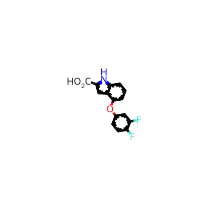 O=C(O)c1cc2c(Oc3ccc(F)c(F)c3)cccc2[nH]1